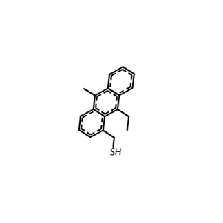 CCc1c2ccccc2c(C)c2cccc(CS)c12